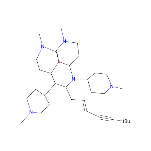 CN1CCC(C(C2CCN(C)CC2)C(CC=CC#CC(C)(C)C)N(C2CCN(C)CC2)C2CCN(C)CC2)CC1